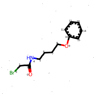 O=C(CBr)NCCCCOc1ccccc1